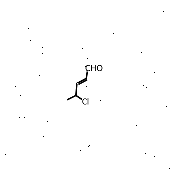 CC(Cl)C=CC=O